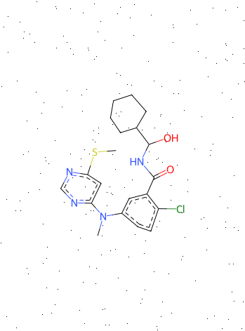 CSc1cc(N(C)c2ccc(Cl)c(C(=O)NC(O)C3CCCCC3)c2)ncn1